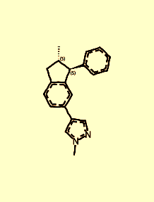 C[C@H]1Cc2ccc(-c3cnn(C)c3)cc2[C@@H]1c1ccccc1